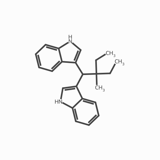 CCC(C)(CC)C(c1c[nH]c2ccccc12)c1c[nH]c2ccccc12